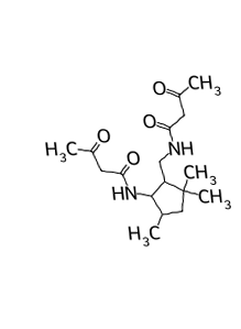 CC(=O)CC(=O)NCC1C(NC(=O)CC(C)=O)C(C)CC1(C)C